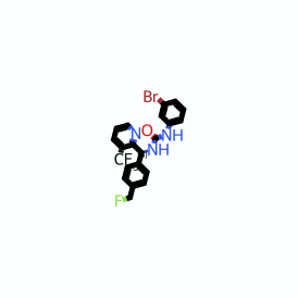 O=C(Nc1cccc(Br)c1)N[C@@H](c1ccc(CF)cc1)c1ncccc1C(F)(F)F